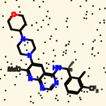 COc1nc2ncnc(N[C@H](C)c3cccc(C(F)(F)F)c3C)c2cc1N1CCN(C2CCOCC2)CC1